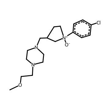 COCCN1CCN(CC2CC[N+]([O-])(c3ccc(Cl)cc3)C2)CC1